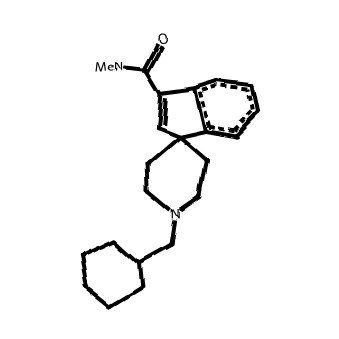 CNC(=O)C1=CC2(CCN(CC3CCCCC3)CC2)c2ccccc21